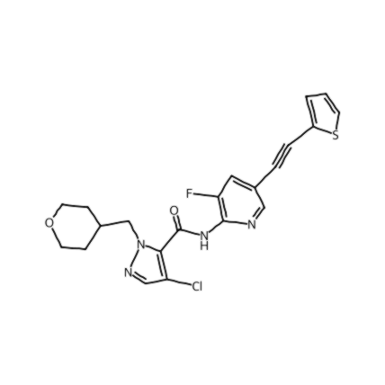 O=C(Nc1ncc(C#Cc2cccs2)cc1F)c1c(Cl)cnn1CC1CCOCC1